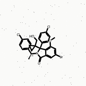 COc1cc(Br)cc2c1C(c1ccc(Cl)cc1)(C1(CO)CC1)N([C@@H](C)c1ccc(Cl)cc1)C2=O